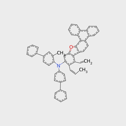 C=Cc1c(/C=C\C)c(N(c2ccc(-c3ccccc3)cc2)c2ccc(-c3ccccc3)cc2C)cc2oc3c(ccc4c5ccccc5c5ccccc5c43)c12